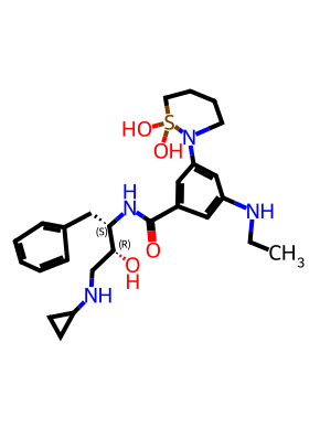 CCNc1cc(C(=O)N[C@@H](Cc2ccccc2)[C@H](O)CNC2CC2)cc(N2CCCCS2(O)O)c1